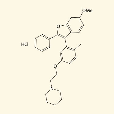 COc1ccc2c(-c3cc(OCCN4CCCCC4)ccc3C)c(-c3ccccc3)oc2c1.Cl